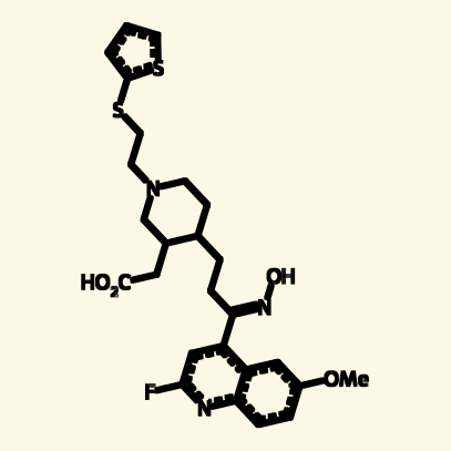 COc1ccc2nc(F)cc(C(CCC3CCN(CCSc4cccs4)CC3CC(=O)O)=NO)c2c1